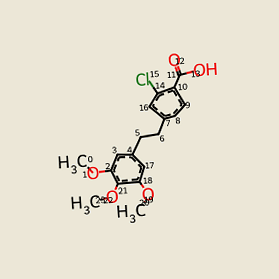 COc1cc(CCc2ccc(C(=O)O)c(Cl)c2)cc(OC)c1OC